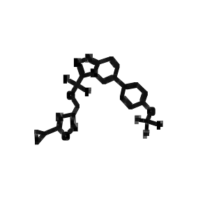 FC(F)(F)Oc1ccc(-c2ccc3nnc(C(F)(F)OCc4noc(C5CC5)n4)n3c2)cc1